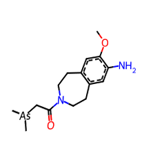 COc1cc2c(cc1N)CCN(C(=O)C[As](C)C)CC2